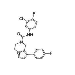 O=C(Nc1ccc(F)c(Cl)c1)N1CCn2ccc(-c3ccc(F)cc3)c2C1